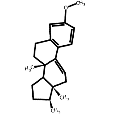 COc1ccc2c(c1)CC[C@]1(C)C2=CC[C@@]2(C)C1CC[C@@H]2C